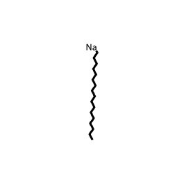 CCCCCCCCCCCCCCCC[CH2][Na]